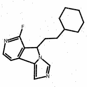 Fc1nccc2c1C(CCC1CCCCC1)n1cncc1-2